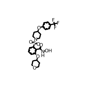 O=C(NO)c1c(OC2CCOCC2)cccc1S(=O)(=O)N1CCC(Oc2ccc(C(F)(F)F)cc2)CC1